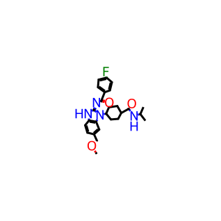 COCc1ccc2[nH]/c(=N/C(=O)c3ccc(F)cc3)n(C3CCC(C(=O)NC(C)C)CC3)c2c1